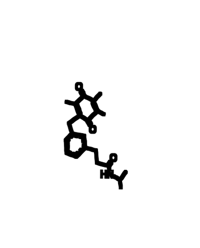 CC1=C(C)C(=O)C(Cc2cccc(CCC(=O)NC(C)C)c2)=C(C)C1=O